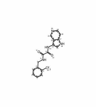 O=C(NCc1ccccc1C(F)(F)F)C(=O)Nc1c[nH]c2ccncc12